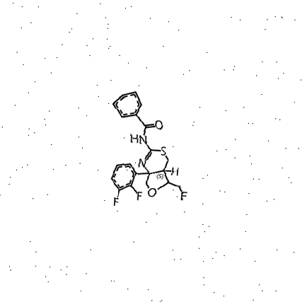 O=C(NC1=NC2(c3cccc(F)c3F)COC(CF)[C@H]2CS1)c1ccccc1